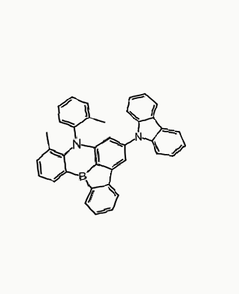 Cc1ccccc1N1c2cc(-n3c4ccccc4c4ccccc43)cc3c2B(c2ccccc2-3)c2cccc(C)c21